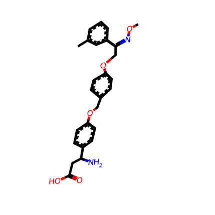 CO/N=C(/COc1ccc(COc2ccc(C(N)CC(=O)O)cc2)cc1)c1cccc(C)c1